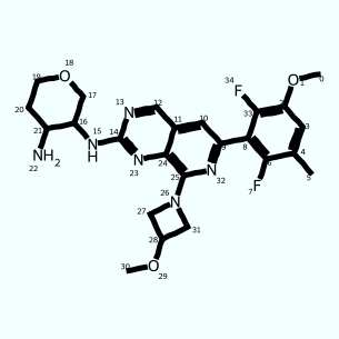 COc1cc(C)c(F)c(-c2cc3cnc(NC4COCCC4N)nc3c(N3CC(OC)C3)n2)c1F